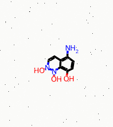 Nc1ccc(O)c2c1C=CN(O)N2O